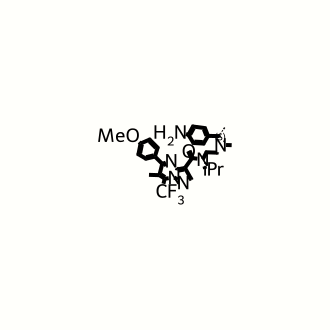 COc1ccc(-c2nc3c(C(=O)N(CCN(C)[C@@H](C)c4ccc(N)cc4)C(C)C)cnn3c(C(F)(F)F)c2C)cc1